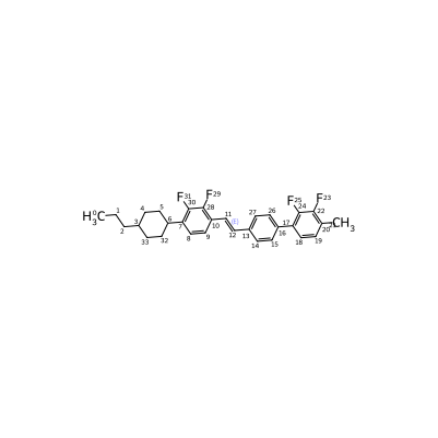 CCCC1CCC(c2ccc(/C=C/c3ccc(-c4ccc(C)c(F)c4F)cc3)c(F)c2F)CC1